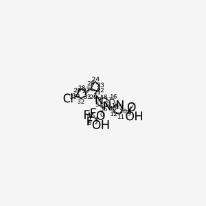 O=C(O)C(F)(F)F.O=C(O)c1ccc2c(n1)CC1CN(Cc3ccccc3-c3ccc(Cl)cc3)CCN21